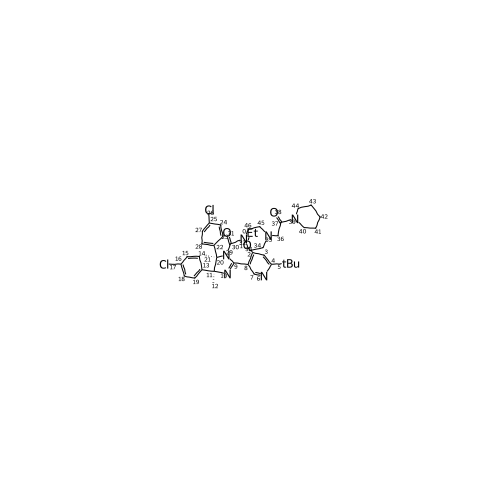 CCOc1cc(C(C)(C)C)ncc1C1=N[C@@](C)(c2ccc(Cl)cc2)[C@@](C)(c2ccc(Cl)cc2)N1C(=O)N1CCN(CC(=O)N2CCCCC2)CC1